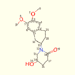 COc1cc2c(cc1OC)CC(N1CC(O)CCC1=O)CC2